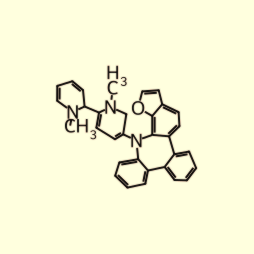 CN1CC(N2c3ccccc3-c3ccccc3-c3ccc4ccoc4c32)=CC=C1C1C=CC=CN1C